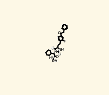 O=C(Cc1ccccc1)c1ccc(CCC2NC(=O)N(C(C(=O)NO)C3CCCCC3)C2=O)c(F)c1